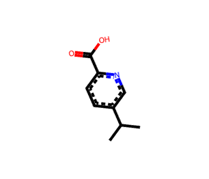 CC(C)c1ccc(C(=O)O)nc1